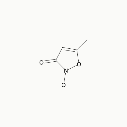 Cc1cc(=O)n([O])o1